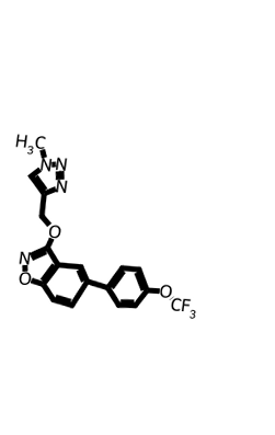 Cn1cc(COc2noc3ccc(-c4ccc(OC(F)(F)F)cc4)cc23)nn1